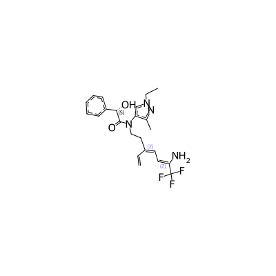 C=C/C(=C\C=C(/N)C(F)(F)F)CCN(C(=O)[C@@H](O)c1ccccc1)c1cn(CC)nc1C